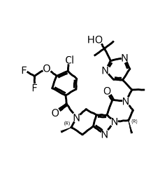 CC(c1cnc(C(C)(C)O)nc1)N1C[C@@H](C)n2nc3c(c2C1=O)CN(C(=O)c1ccc(Cl)c(OC(F)F)c1)[C@H](C)C3